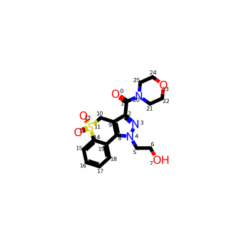 O=C(c1nn(CCO)c2c1CS(=O)(=O)c1ccccc1-2)N1CCOCC1